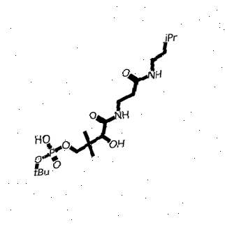 CC(C)CCNC(=O)CCNC(=O)C(O)C(C)(C)COP(=O)(O)OC(C)(C)C